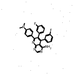 CN(C)c1ccc(-c2nc3ncnc(N)c3c(-c3cccc(F)c3)c2-c2cccc(F)c2)cc1